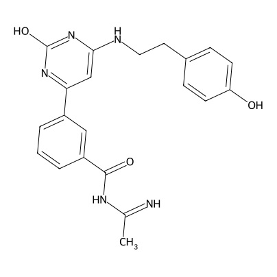 CC(=N)NC(=O)c1cccc(-c2cc(NCCc3ccc(O)cc3)nc(O)n2)c1